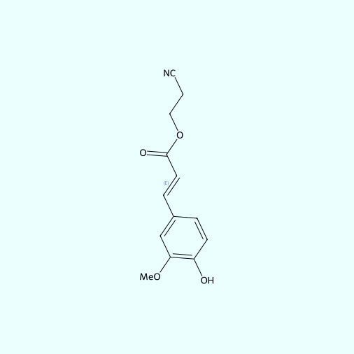 COc1cc(/C=C/C(=O)OCCC#N)ccc1O